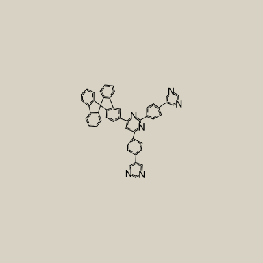 c1ccc2c(c1)-c1ccccc1C21c2ccccc2-c2cc(-c3cc(-c4ccc(-c5cncnc5)cc4)nc(-c4ccc(-c5cncnc5)cc4)n3)ccc21